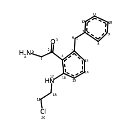 NCC(=O)c1c([C]c2ccccc2)cccc1NCCCl